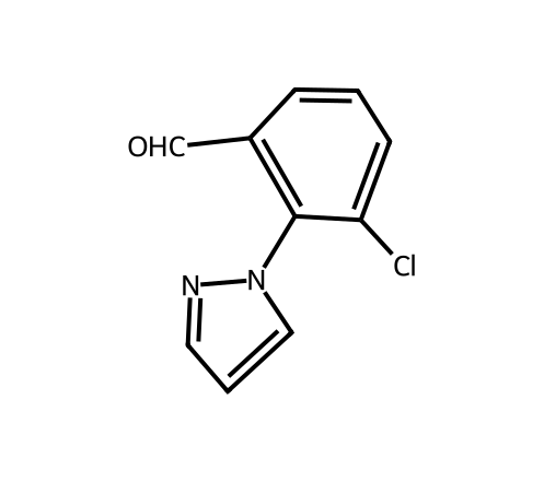 O=Cc1cccc(Cl)c1-n1cccn1